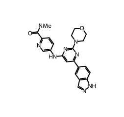 CNC(=O)c1ccc(Nc2cc(-c3ccc4[nH]ncc4c3)nc(N3CCOCC3)n2)cn1